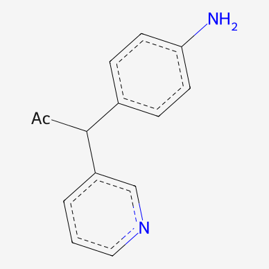 CC(=O)C(c1ccc(N)cc1)c1cccnc1